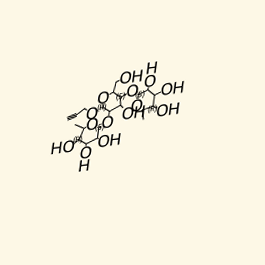 C#CCO[C@@H]1OC(CO)[C@@H](O[C@@H]2OC(C)[C@H](O)C(O)C2O)C(O)C1O[C@@H]1OC(C)[C@H](O)C(O)C1O